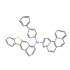 c1ccc(-c2ccc(N(c3ccc4c(ccc5ccc6ccccc6c54)c3)c3cccc4cc5c(cc34)sc3ccccc35)cc2)cc1